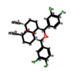 CCCCCC[C@H]1CC[C@H](C(OC(c2ccc(F)c(F)c2)[C@H]2CC[C@H](CCCCCC)CC2)c2ccc(F)c(F)c2)CC1